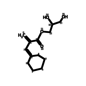 C=C(C=C1CCCCC1)C(=O)OCC(O)CO